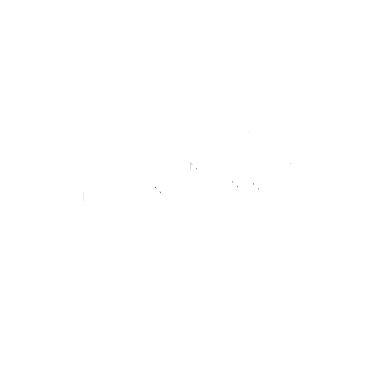 Cc1ccc(Cl)cc1N1CCN(Cc2c(Cl)c(=O)n(C3CCCC3)n2C)CC1